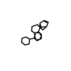 C1=CC2CC1CC21CCCc2c(C3CCCCC3)cccc21